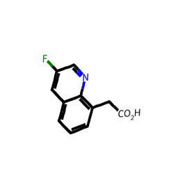 O=C(O)Cc1cccc2cc(F)cnc12